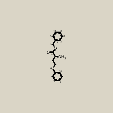 NC(CCOc1c[c]ccc1)C(=O)OCc1ccccc1